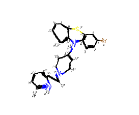 Brc1ccc2c(c1)Sc1ccccc1N2C1CCN(Cc2ccccn2)CC1